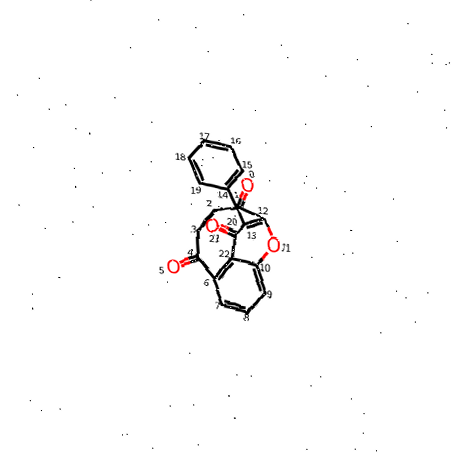 O=C1CCC(=O)c2cccc3oc1c(-c1ccccc1)c(=O)c23